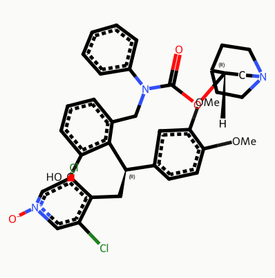 COc1ccc([C@@H](Cc2c(Cl)c[n+]([O-])cc2Cl)c2c(CN(C(=O)O[C@H]3CN4CCC3CC4)c3ccccc3)cccc2C(=O)O)cc1OC